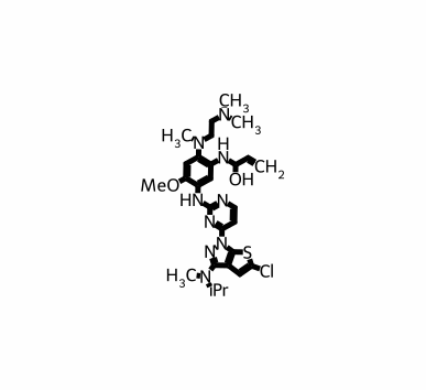 C=CC(O)Nc1cc(Nc2nccc(-n3nc(N(C)C(C)C)c4cc(Cl)sc43)n2)c(OC)cc1N(C)CCN(C)C